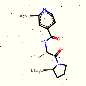 CCOC(=O)[C@@H]1CCCN1C(=O)[C@H](C)NC(=O)c1ccnc(NC(C)=O)c1